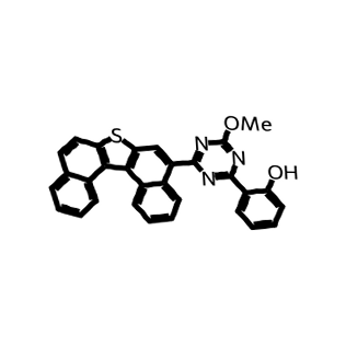 COc1nc(-c2ccccc2O)nc(-c2cc3sc4ccc5ccccc5c4c3c3ccccc23)n1